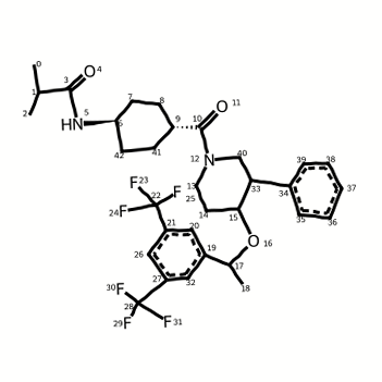 CC(C)C(=O)N[C@H]1CC[C@H](C(=O)N2CCC(OC(C)c3cc(C(F)(F)F)cc(C(F)(F)F)c3)C(c3ccccc3)C2)CC1